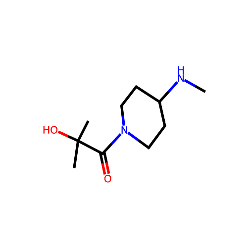 CNC1CCN(C(=O)C(C)(C)O)CC1